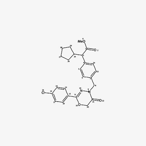 COC(=O)C(c1ccc(CN2N=C(c3ccc(Cl)cc3)OCC2=O)cc1)C1CCCC1